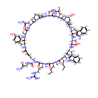 CCCC[C@H]1C(=O)N(C)[C@@H](CCCC)C(=O)N[C@@H](CCCNC(=N)N)C(=O)N[C@H](C(=O)NCC(N)=O)C/C=C/C(=O)N[C@@H](Cc2ccc(O)cc2)C(=O)N(C)[C@@H](C)C(=O)N[C@@H](CC(N)=O)C(=O)N2CCC[C@H]2C(=O)N[C@@H](CN)C(=O)N[C@@H](CC(C)C)C(=O)N2C[C@H](O)C[C@H]2C(=O)N[C@@H](Cc2c[nH]c3ccccc23)C(=O)N[C@@H](CO)C(=O)N[C@@H](Cc2c[nH]c3ccccc23)C(=O)N1C